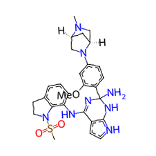 COc1cc(N2C[C@@H]3C[C@H]2CN3C)ccc1C1(N)N=C(Nc2cccc3c2N(S(C)(=O)=O)CC3)c2cc[nH]c2N1